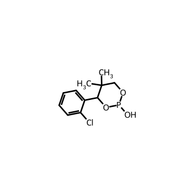 CC1(C)COP(O)OC1c1ccccc1Cl